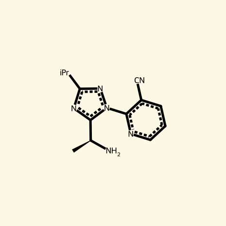 CC(C)c1nc([C@H](C)N)n(-c2ncccc2C#N)n1